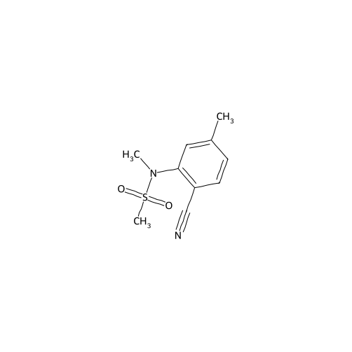 Cc1ccc(C#N)c(N(C)S(C)(=O)=O)c1